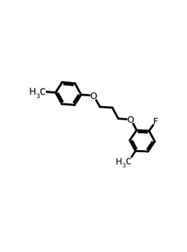 Cc1ccc(OCCCOc2cc(C)ccc2F)cc1